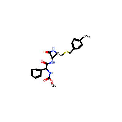 COc1ccc(CSC[C@H]2NC(=O)[C@H]2NC(=O)C(NC(=O)OC(C)(C)C)c2ccccc2)cc1